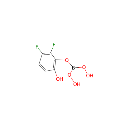 OOB(OO)Oc1c(O)ccc(F)c1F